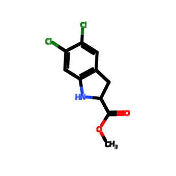 COC(=O)C1Cc2cc(Cl)c(Cl)cc2N1